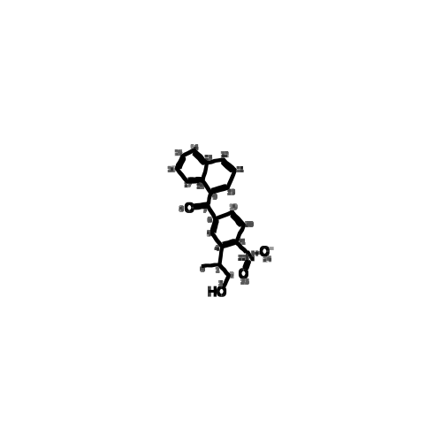 CC(CO)c1cc(C(=O)c2cccc3ccccc23)ccc1[N+](=O)[O-]